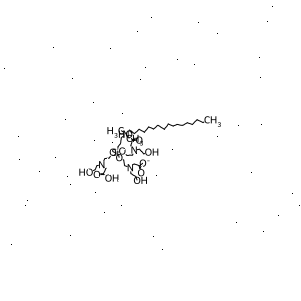 CCCCCCCCCCCCCCCCC[N+](C)(C)CCC[Si](OCCN(CCO)CC(=O)[O-])(OCCN(CCO)CC(=O)O)OCCN(CCO)CC(=O)O